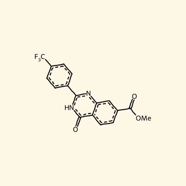 COC(=O)c1ccc2c(=O)[nH]c(-c3ccc(C(F)(F)F)cc3)nc2c1